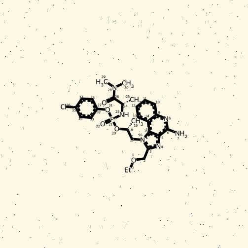 CCOCc1nc2c(N)nc3ccccc3c2n1C[C@@H](C)OP(=O)(N[C@@H](C)C(=O)N(C)C)Oc1ccc(Cl)cc1